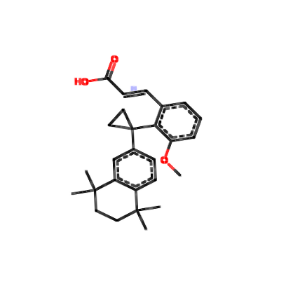 COc1cccc(/C=C/C(=O)O)c1C1(c2ccc3c(c2)C(C)(C)CCC3(C)C)CC1